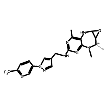 Cc1nc(NCc2cnn(-c3ccc(C(F)(F)F)nc3)c2)nc2c1NC1OC1[C@H](C)N2C